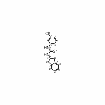 S=C(Nc1cccc(Cl)c1)NC1Cc2ccccc2C1